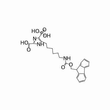 O=C(NCCCCCCc1[nH]c(C(=O)O)nc1P(=O)(O)O)OCC1c2ccccc2-c2ccccc21